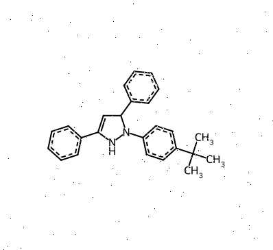 CC(C)(C)c1ccc(N2NC(c3ccccc3)=CC2c2ccccc2)cc1